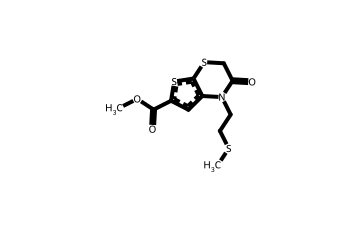 COC(=O)c1cc2c(s1)SCC(=O)N2CCSC